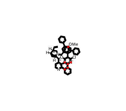 C=C[C@H]1C[N+]2(Cc3cc(-c4ccccc4)c(OC)c(-c4ccccc4)c3)CC[C@H]1C[C@@H]2[C@@H](Oc1nc(-c2ccccc2)nc(Cl)c1-c1ccccc1)c1ccnc2ccc([O-])cc12